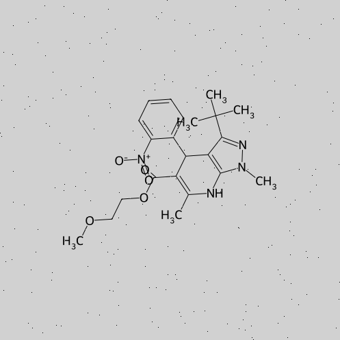 COCCOC(=O)C1=C(C)Nc2c(c(C(C)(C)C)nn2C)C1c1ccccc1[N+](=O)[O-]